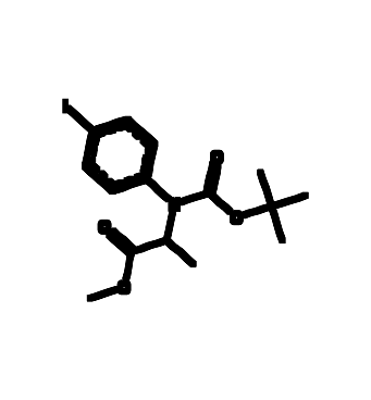 COC(=O)C(C)N(C(=O)OC(C)(C)C)c1ccc(I)cc1